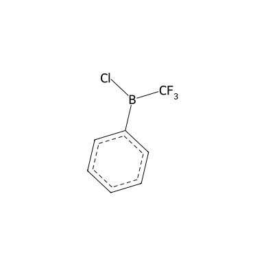 FC(F)(F)B(Cl)c1ccccc1